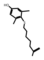 C=C(C)CCCCCSc1c(C)cc(O)cc1C